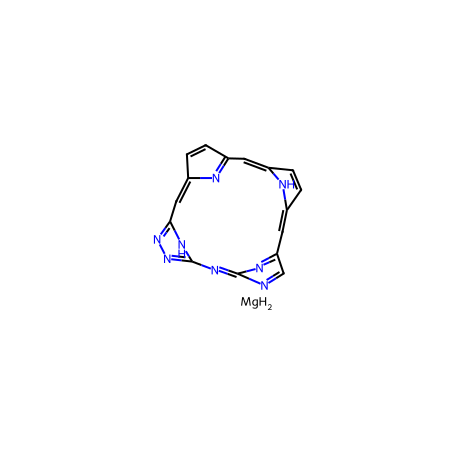 C1=Cc2cc3nnc(nc4nc(cc5ccc(cc1n2)[nH]5)C=N4)[nH]3.[MgH2]